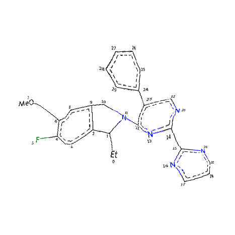 CCC1c2cc(F)c(OC)cc2CN1c1nc(-c2ncccn2)ncc1-c1ccccc1